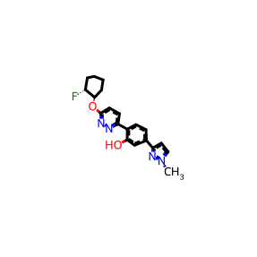 Cn1ccc(-c2ccc(-c3ccc(O[C@H]4CCCC[C@H]4F)nn3)c(O)c2)n1